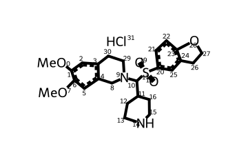 COc1cc2c(cc1OC)CN(C(C1CCNCC1)S(=O)(=O)c1ccc3c(c1)CCO3)CC2.Cl